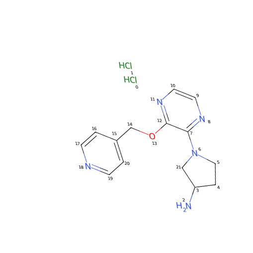 Cl.Cl.NC1CCN(c2nccnc2OCc2ccncc2)C1